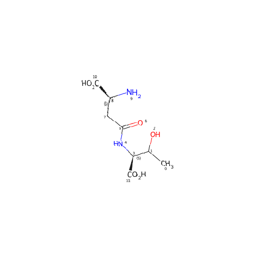 CC(O)[C@H](NC(=O)C[C@H](N)C(=O)O)C(=O)O